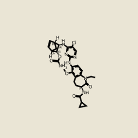 CCN1C(=O)[C@@H](NC(=O)C2CC2)CCc2c1ccc(Nc1ncc(Cl)c(N[C@H]3[C@@H](OC(N)=O)[C@@H]4C=C[C@H]3C4)n1)c2OC